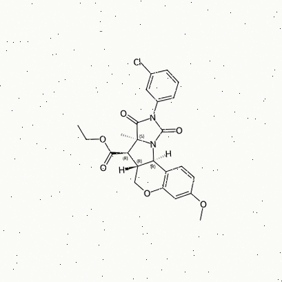 CCOC(=O)[C@@H]1[C@H]2COc3cc(OC)ccc3[C@@H]2N2C(=O)N(c3cccc(Cl)c3)C(=O)[C@]12C